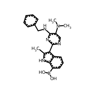 Cc1[nH]c2c(B(O)O)cccc2c1-c1ncc(N(C)C)c(NCc2ccccc2)n1